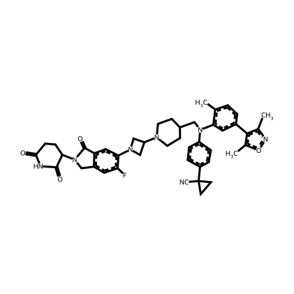 Cc1ccc(-c2c(C)noc2C)cc1N(CC1CCN(C2CN(c3cc4c(cc3F)CN(C3CCC(=O)NC3=O)C4=O)C2)CC1)c1ccc(C2(C#N)CC2)cc1